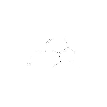 C=C.F.F.F.F.F.F.FCC(F)=C(F)F